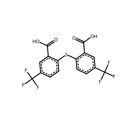 O=C(O)c1cc(C(F)(F)F)ccc1Sc1ccc(C(F)(F)F)cc1C(=O)O